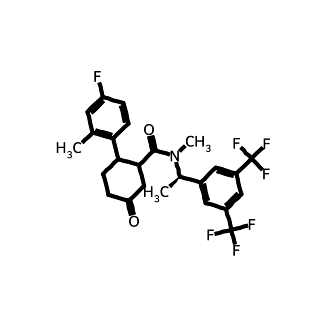 Cc1cc(F)ccc1C1CCC(=O)CC1C(=O)N(C)[C@H](C)c1cc(C(F)(F)F)cc(C(F)(F)F)c1